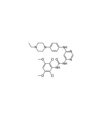 CCN1CCN(c2ccc(Nc3cc(NC(=O)Nc4c(Cl)c(OC)cc(OC)c4Cl)ncn3)cc2)CC1